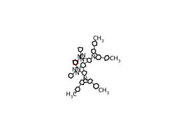 Cc1ccc(-c2ccc3c(c2)c2cc(-c4ccc(C)cc4)ccc2n3-c2ccc(-c3cccc(-c4ccc(-n5c6ccc(-c7ccc(C)cc7)cc6c6cc(-c7ccc(C)cc7)ccc65)cc4-c4nc(-c5ccccc5)nc(-c5ccccc5)n4)c3)c(-c3nc(-c4ccccc4)nc(-c4ccccc4)n3)c2)cc1